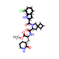 COC(=O)[C@H](C[C@@H]1CCCNC1=O)NC(=O)C1CC2(CCC2)CN1C(=O)c1cc2cccc(Cl)c2[nH]1